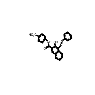 O=C(O)c1ccc(NC(=O)c2cc3ccccc3c(/N=N/c3ccccc3)c2O)cc1